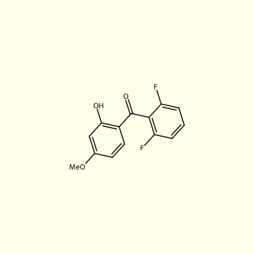 COc1ccc(C(=O)c2c(F)cccc2F)c(O)c1